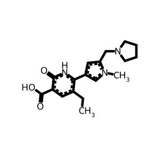 CCc1cc(C(=O)O)c(=O)[nH]c1-c1cc(CN2CCCC2)n(C)c1